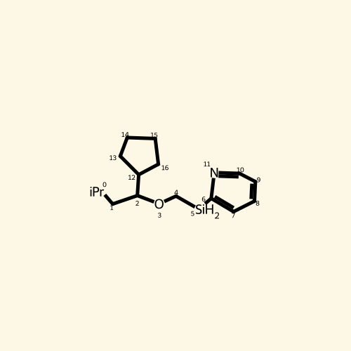 CC(C)CC(OC[SiH2]c1ccccn1)C1CCCC1